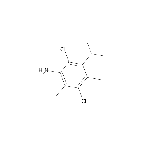 Cc1c(N)c(Cl)c(C(C)C)c(C)c1Cl